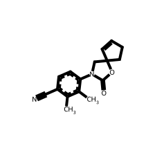 Cc1c(C#N)ccc(N2CC3(C=CCC3)OC2=O)c1C